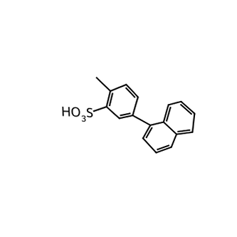 Cc1ccc(-c2cccc3ccccc23)cc1S(=O)(=O)O